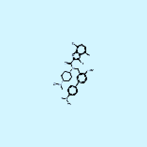 COc1ccc(-c2ccc(N(C)C(C)=O)cc2)cc1CN(C(=O)c1sc2c(F)ccc(F)c2c1Cl)[C@H]1CC[C@H](N(C)Cl)CC1